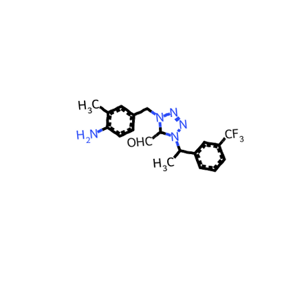 Cc1cc(CN2N=NN(C(C)c3cccc(C(F)(F)F)c3)C2C=O)ccc1N